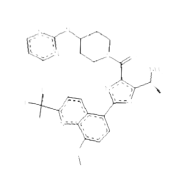 COc1ccc(-c2nc(C(=O)N3CCC(Nc4ncccn4)CC3)c([C@H](C)N)o2)c2ccc(C(F)(F)F)nc12